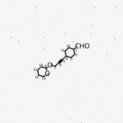 O=CC1CCC(C#CCOC2CCCCO2)CC1